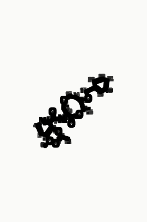 COc1ccnc(C(=O)N[C@H]2COCC[C@@H](OCc3ccccc3)[C@H](C)OC2=O)c1OC(C)=O